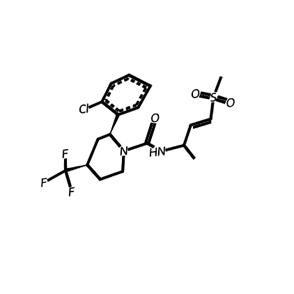 CC(/C=C/S(C)(=O)=O)NC(=O)N1CC[C@@H](C(F)(F)F)C[C@H]1c1ccccc1Cl